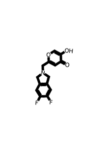 O=c1cc(CN2Cc3cc(F)c(F)cc3C2)occ1O